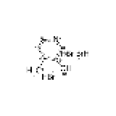 Br.Br.Br.Cc1ccncc1O